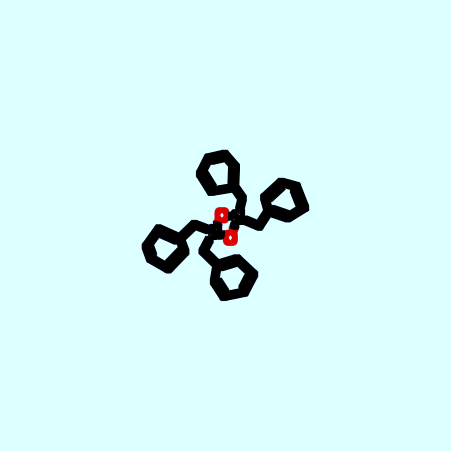 c1ccc(C[Si]2(Cc3ccccc3)O[Si](Cc3ccccc3)(Cc3ccccc3)O2)cc1